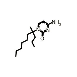 CCCCCCC(C)(CCC)n1ccc(N)nc1=O